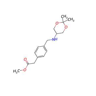 COC(=O)Cc1ccc(CNC2COC(C)(C)OC2)cc1